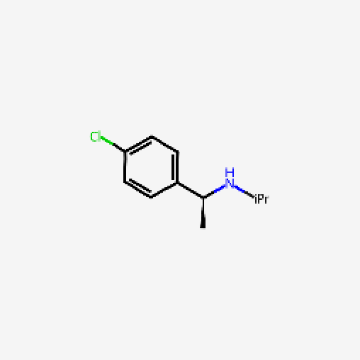 CC(C)N[C@@H](C)c1ccc(Cl)cc1